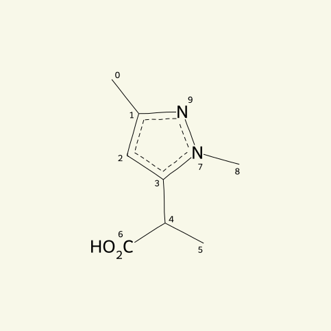 Cc1cc(C(C)C(=O)O)n(C)n1